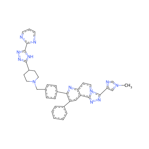 Cn1cnc(-c2nnc3c4cc(-c5ccccc5)c(-c5ccc(CN6CCC(c7nnc(-c8ncccn8)[nH]7)CC6)cc5)nc4ccn23)c1